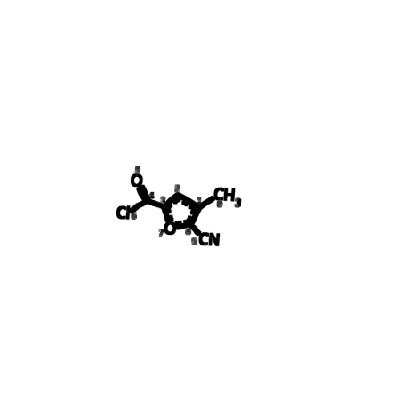 Cc1cc(C(=O)Cl)oc1C#N